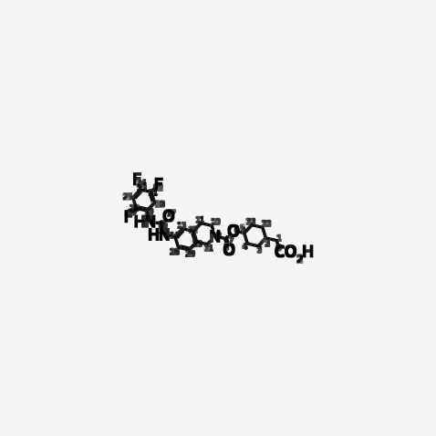 O=C(O)CC1CCC(OC(=O)N2CCc3cc(NC(=O)Nc4cc(F)c(F)cc4F)ccc3C2)CC1